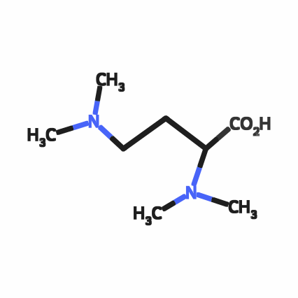 CN(C)CCC(C(=O)O)N(C)C